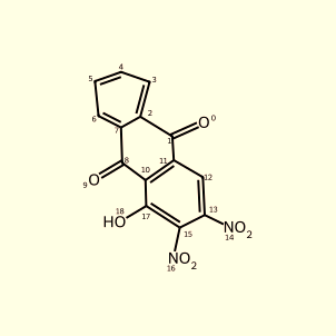 O=C1c2ccccc2C(=O)c2c1cc([N+](=O)[O-])c([N+](=O)[O-])c2O